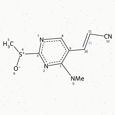 CNc1nc([S+](C)[O-])ncc1/C=C/C#N